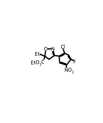 CCOC(=O)C1(CC)CC(c2cc([N+](=O)[O-])c(F)cc2Cl)=NO1